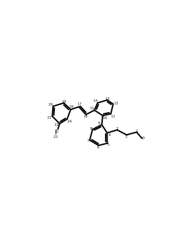 CCCCc1ccccc1-c1ccccc1C=Cc1cccc(F)c1